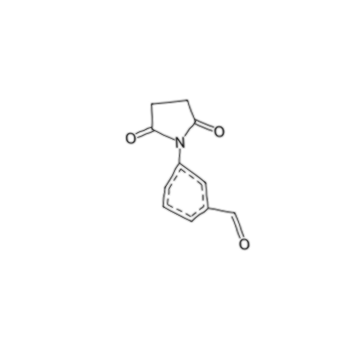 O=Cc1cccc(N2C(=O)CCC2=O)c1